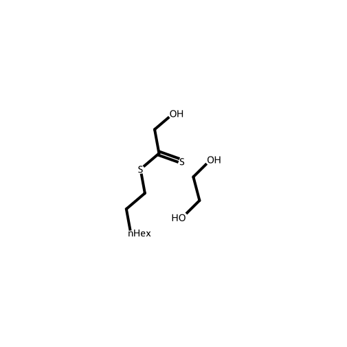 CCCCCCCCSC(=S)CO.OCCO